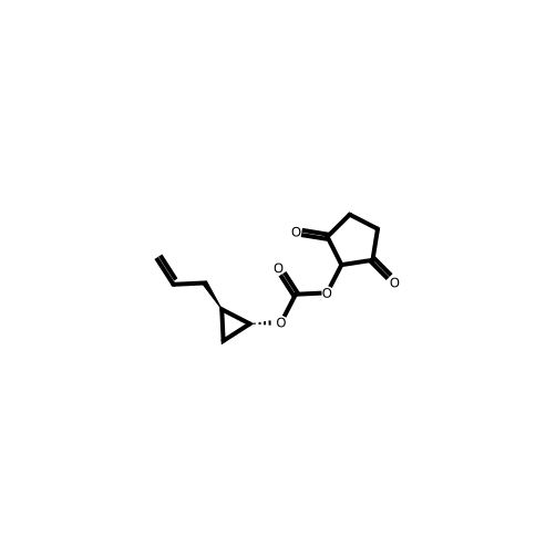 C=CC[C@@H]1C[C@H]1OC(=O)OC1C(=O)CCC1=O